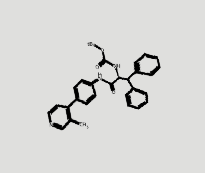 Cc1cnccc1-c1ccc(NC(=O)[C@@H](NC(=O)OC(C)(C)C)C(c2ccccc2)c2ccccc2)cc1